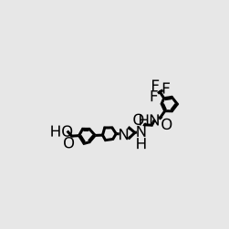 O=C(CNC(=O)c1cccc(C(F)(F)F)c1)NC1CN(C2CCC(c3ccc(C(=O)O)cc3)CC2)C1